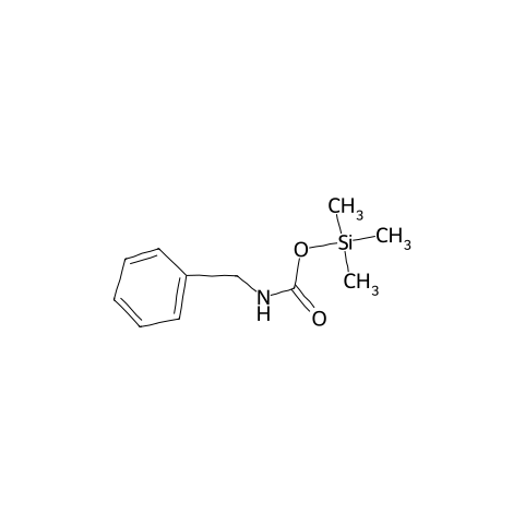 C[Si](C)(C)OC(=O)NCc1ccccc1